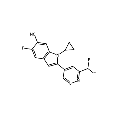 N#Cc1cc2c(cc1F)cc(-c1cnnc(C(F)F)c1)n2C1CC1